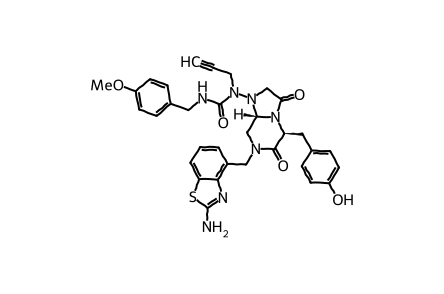 C#CCN(C(=O)NCc1ccc(OC)cc1)N1CC(=O)N2[C@@H](Cc3ccc(O)cc3)C(=O)N(Cc3cccc4sc(N)nc34)C[C@@H]21